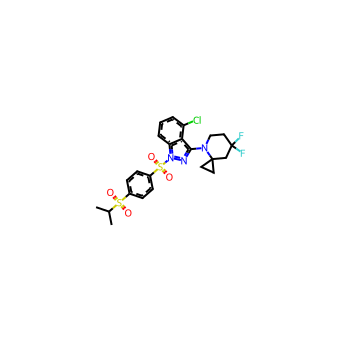 CC(C)S(=O)(=O)c1ccc(S(=O)(=O)n2nc(N3CCC(F)(F)CC34CC4)c3c(Cl)cccc32)cc1